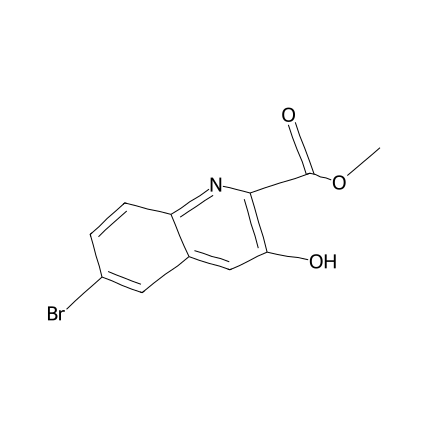 COC(=O)c1nc2ccc(Br)cc2cc1O